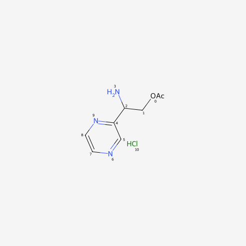 CC(=O)OCC(N)c1cnccn1.Cl